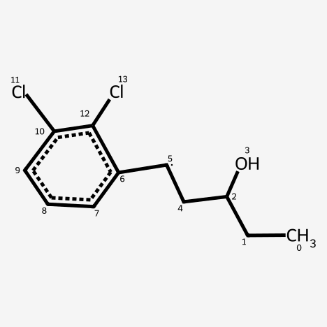 CCC(O)C[CH]c1cccc(Cl)c1Cl